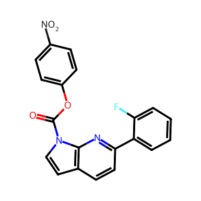 O=C(Oc1ccc([N+](=O)[O-])cc1)n1ccc2ccc(-c3ccccc3F)nc21